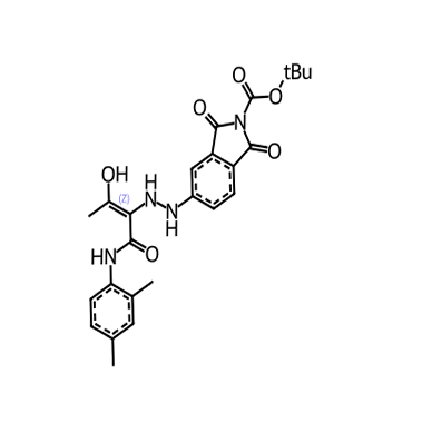 C/C(O)=C(/NNc1ccc2c(c1)C(=O)N(C(=O)OC(C)(C)C)C2=O)C(=O)Nc1ccc(C)cc1C